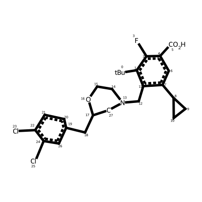 CC(C)(C)c1c(F)c(C(=O)O)cc(C2CC2)c1CN1CCOC(Cc2ccc(Cl)c(Cl)c2)C1